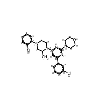 CC1CN(c2ncccc2Cl)CCN1c1cc(-c2cccc(Cl)c2)nc(N2CCOCC2)n1